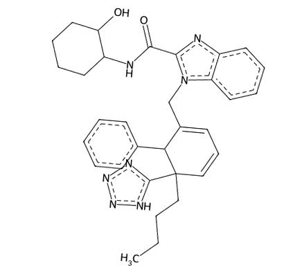 CCCCC1(c2nnn[nH]2)C=CC=C(Cn2c(C(=O)NC3CCCCC3O)nc3ccccc32)C1c1ccccc1